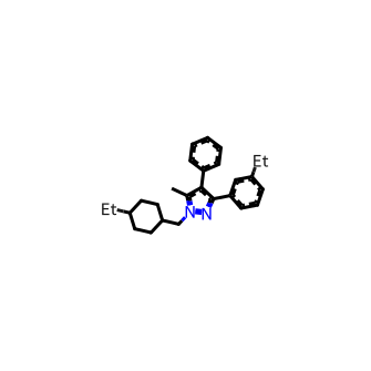 CCc1cccc(-c2nn(CC3CCC(CC)CC3)c(C)c2-c2ccccc2)c1